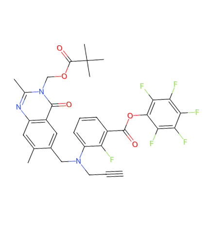 C#CCN(Cc1cc2c(=O)n(COC(=O)C(C)(C)C)c(C)nc2cc1C)c1cccc(C(=O)Oc2c(F)c(F)c(F)c(F)c2F)c1F